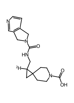 [2H]C1(CNC(=O)N2Cc3ccncc3C2)CC12CCN(C(=O)O)CC2